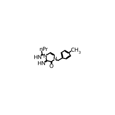 CCCC(=N)n1ccn(Cc2ccc(C)cc2)c(=O)c1=N